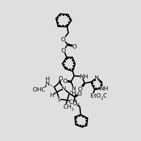 CCOC(=O)c1[nH]cnc1C(=O)NC(C(=O)N[C@@]1(C(=O)OCc2ccccc2)N2C(=O)[C@@H](NC=O)[C@H]2SC1(C)C)c1ccc(OC(=O)OCc2ccccc2)cc1